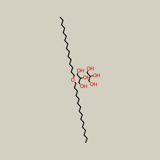 CCCCCCCCCCCCCCCCOCCCCCCCCCCCCCCCC.OCC(O)CO.OCC(O)CO